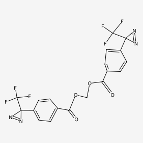 O=C(OCOC(=O)c1ccc(C2(C(F)(F)F)N=N2)cc1)c1ccc(C2(C(F)(F)F)N=N2)cc1